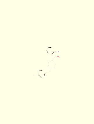 O=c1[nH]c2cc(Cl)ccc2n1C1CCN(Cc2ccc(Br)cc2F)CC1